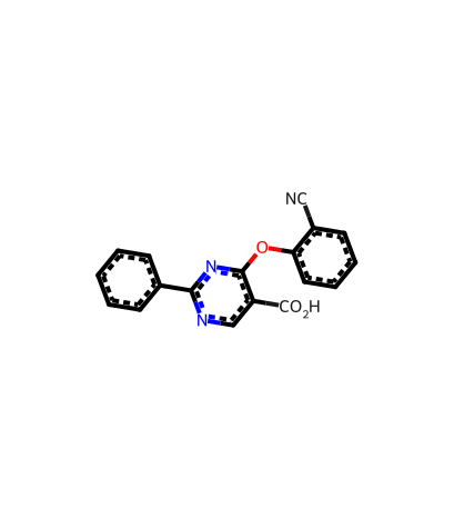 N#Cc1ccccc1Oc1nc(-c2ccccc2)ncc1C(=O)O